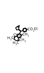 CCOC(=O)c1ccc(C(=C2CCC3CC23)c2cc3c(cc2C)C(C)(C)CCC3(C)C)cc1